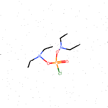 CCN(CC)OP(=O)(Cl)ON(CC)CC